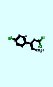 O=C(O)C=C(CC(Cl)Cl)c1ccc(Br)cc1